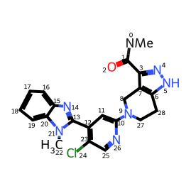 CNC(=O)c1n[nH]c2c1CN(c1cc(-c3nc4ccccc4n3C)c(Cl)cn1)CC2